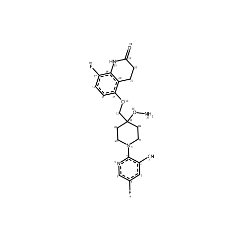 N#Cc1cc(F)cnc1N1CCC(COc2ccc(F)c3c2CCC(=O)N3)(ON)CC1